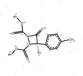 CC[C@@]1(c2ccc(C)cc2)C(=O)N(C(=O)OC(C)C)N1C(=O)OC(C)C